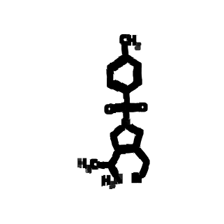 Cc1ccc(S(=O)(=O)N2CC(CBr)=C(C(C)N)C2)cc1